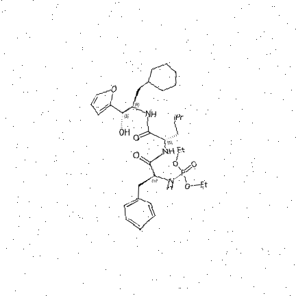 CCOP(=O)(N[C@@H](Cc1ccccc1)C(=O)N[C@@H](CC(C)C)C(=O)N[C@H](CC1CCCCC1)[C@H](O)c1ccco1)OCC